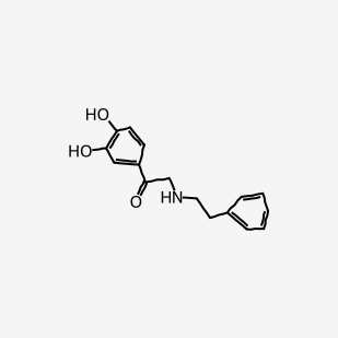 O=C(CNCCc1ccccc1)c1ccc(O)c(O)c1